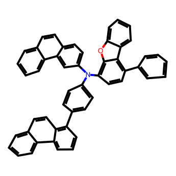 c1ccc(-c2ccc(N(c3ccc(-c4cccc5c4ccc4ccccc45)cc3)c3ccc4ccc5ccccc5c4c3)c3oc4ccccc4c23)cc1